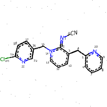 N#C/N=c1\c(Cc2ccccn2)cccn1Cc1ccc(Cl)nc1